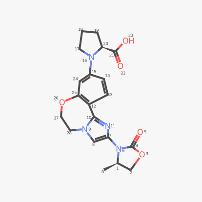 C[C@@H]1COC(=O)N1c1cn2c(n1)-c1ccc(N3CCC[C@H]3C(=O)O)cc1OCC2